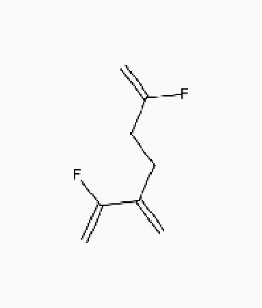 C=C(F)CCC(=C)C(=C)F